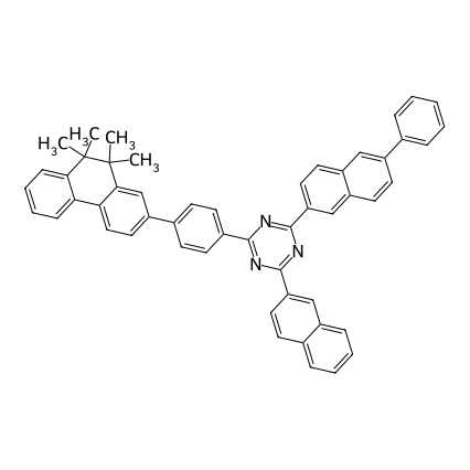 CC1(C)c2ccccc2-c2ccc(-c3ccc(-c4nc(-c5ccc6ccccc6c5)nc(-c5ccc6cc(-c7ccccc7)ccc6c5)n4)cc3)cc2C1(C)C